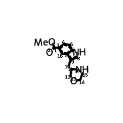 COC(=O)c1ccc2[nH]cc(C[C@H]3COCCN3)c2c1